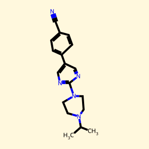 CC(C)N1CCN(c2ncc(-c3ccc(C#N)cc3)cn2)CC1